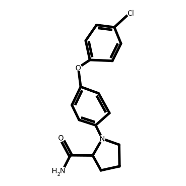 NC(=O)C1CCCN1c1ccc(Oc2ccc(Cl)cc2)cc1